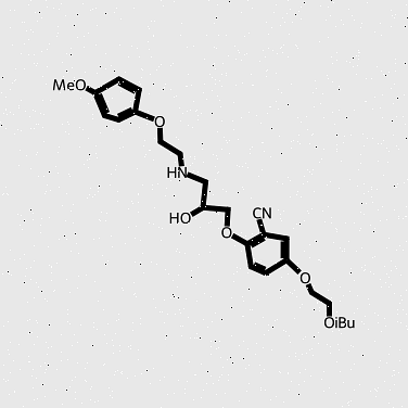 COc1ccc(OCCNCC(O)COc2ccc(OCCOCC(C)C)cc2C#N)cc1